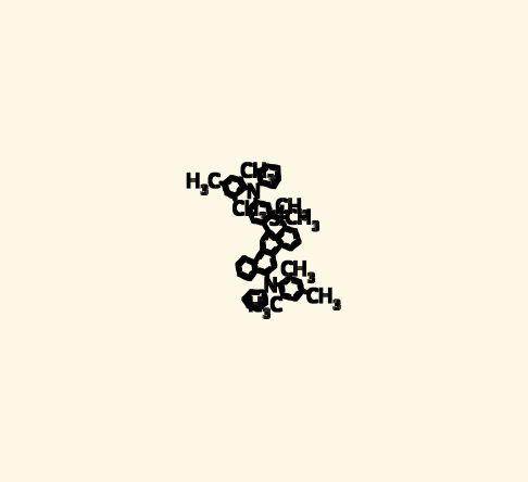 Cc1cc(C)c(N(c2ccccc2)c2ccc3c(c2)[Si](C)(C)c2cccc4c2c-3cc2c3ccccc3c(N(c3ccccc3)c3c(C)cc(C)cc3C)cc42)c(C)c1